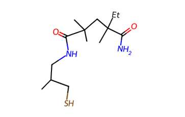 CCC(C)(CC(C)(C)C(=O)NCC(C)CS)C(N)=O